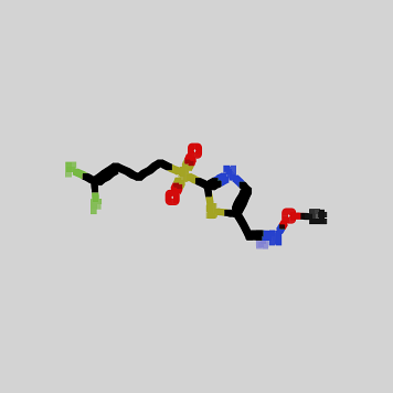 CCO/N=C\c1cnc(S(=O)(=O)CCC=C(F)F)s1